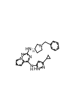 c1ccc(CN2CC[C@H](Nc3nc(Nc4cc(C5CC5)n[nH]4)c4cccn4n3)C2)cc1